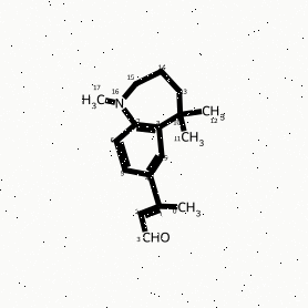 C/C(=C\C=O)c1ccc2c(c1)C(C)(C)CCCN2C